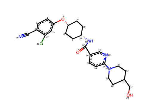 N#Cc1ccc(O[C@H]2CC[C@@H](NC(=O)c3ccc(N4CCC(CO)CC4)nc3)CC2)cc1Cl